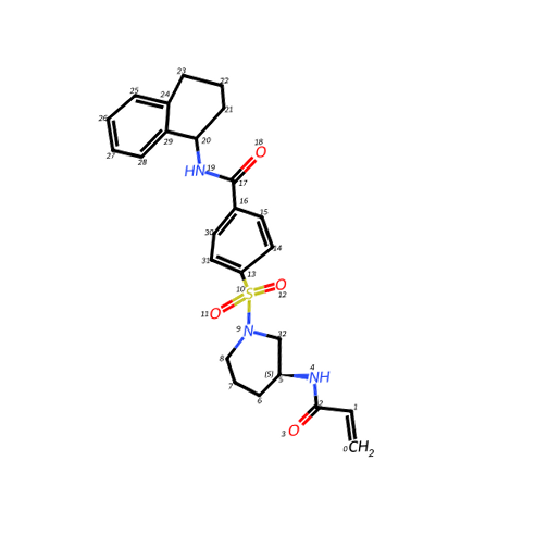 C=CC(=O)N[C@H]1CCCN(S(=O)(=O)c2ccc(C(=O)NC3CCCc4ccccc43)cc2)C1